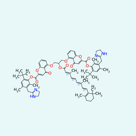 CC1=C(/C=C/C(C)=C/C=C/C(C)=C/C(=O)OC(COc2cccc3oc(C(=O)Oc4c(C(C)(C)C)cc(C)c(CC5=NCCN5)c4C)cc(=O)c23)COc2cccc3oc(C(=O)Oc4c(C(C)(C)C)cc(C)c(CC5=NCCN5)c4C)cc(=O)c23)C(C)(C)CCC1